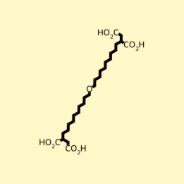 O=C(O)CC(CCCCCCCCCCOCCCCCCCCCCC(CC(=O)O)C(=O)O)C(=O)O